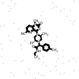 CC[C@@H]1CN(c2nc(=O)n(C)c3ccc(C#N)nc23)[C@@H](C)CN1C(C(=O)NCC(F)(F)F)c1ccc(C)cc1